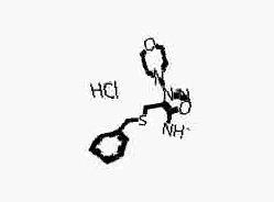 Cl.[NH-]c1on[n+](N2CCOCC2)c1CSCc1ccccc1